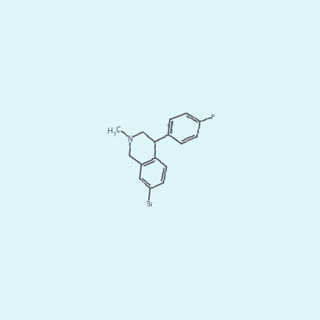 CN1Cc2cc(Br)ccc2C(c2ccc(F)cc2)C1